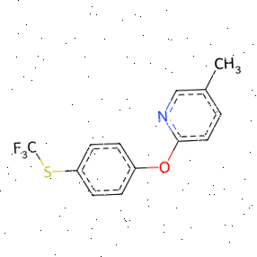 Cc1ccc(Oc2ccc(SC(F)(F)F)cc2)nc1